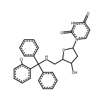 O=c1ccn(C2CC(O)C(CNC(c3ccccc3)(c3ccccc3)c3ccccc3Cl)O2)c(=O)[nH]1